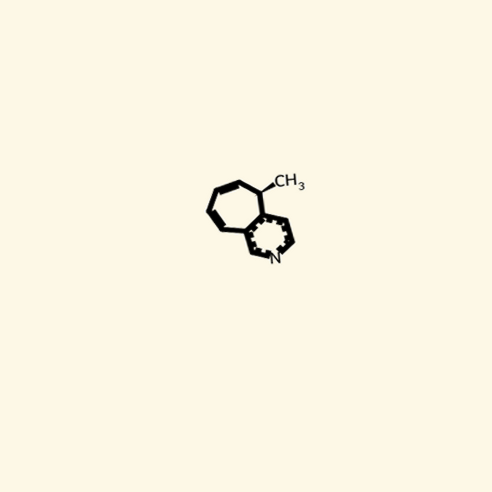 C[C@@H]1C=CC=Cc2cnccc21